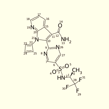 C[C@H](NS(=O)(=O)c1cnc(-c2c(C(N)=O)c3cccnc3n2C2=CC=C2)nc1)C(F)(F)F